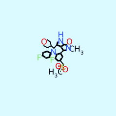 Cn1cc2c3c(c[nH]c3c1=O)C(C1CCOCC1)N(c1ccc(F)cc1F)c1ccc(CS(C)(=O)=O)cc1-2